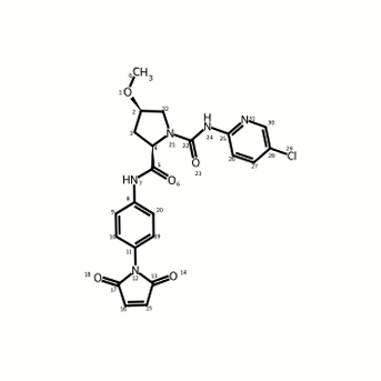 CO[C@@H]1C[C@H](C(=O)Nc2ccc(N3C(=O)C=CC3=O)cc2)N(C(=O)Nc2ccc(Cl)cn2)C1